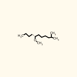 CCCC[C@H](CCCCC(C)C)OC